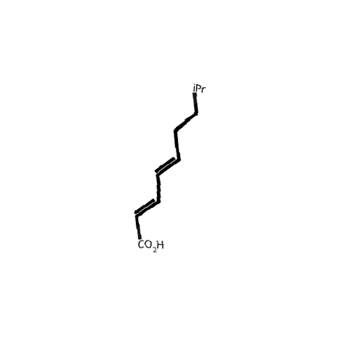 CC(C)CCC=CC=CC(=O)O